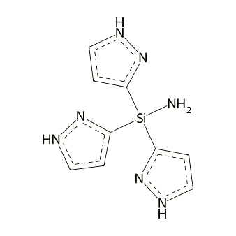 N[Si](c1cc[nH]n1)(c1cc[nH]n1)c1cc[nH]n1